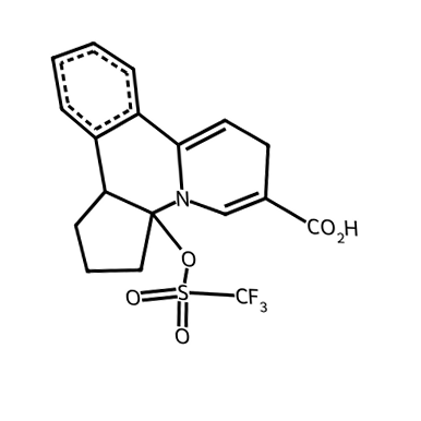 O=C(O)C1=CN2C(=CC1)c1ccccc1C1CCCC12OS(=O)(=O)C(F)(F)F